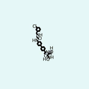 C=C(N[C@H](C(=O)NO)[C@@H](C)O)c1ccc(-c2ccc(NC(=O)CNCc3cccc(Cl)c3)cc2)cc1